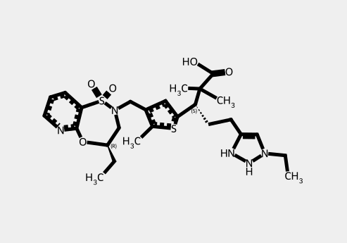 CC[C@@H]1CN(Cc2cc([C@@H](CCC3=CN(CC)NN3)C(C)(C)C(=O)O)sc2C)S(=O)(=O)c2cccnc2O1